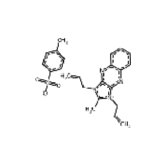 C=CCn1c(C)[n+](CC=C)c2nc3ccccc3nc21.Cc1ccc(S(=O)(=O)[O-])cc1